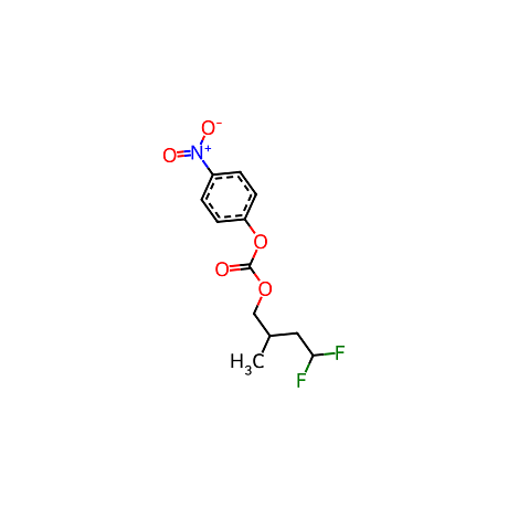 CC(COC(=O)Oc1ccc([N+](=O)[O-])cc1)CC(F)F